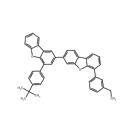 CCc1cccc(-c2cccc3c2oc2cc(-c4cc(-c5ccc(C(C)(C)C)cc5)c5oc6ccccc6c5c4)ccc23)c1